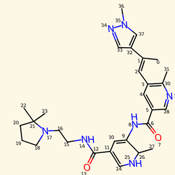 C/C(=C\c1cc(C(=O)NC2=CC(C(=O)NCCN3CCCC3(C)C)=CNC2C)cnc1C)c1cnn(C)c1